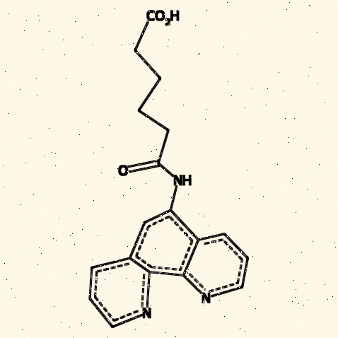 O=C(O)CCCCC(=O)Nc1cc2cccnc2c2ncccc12